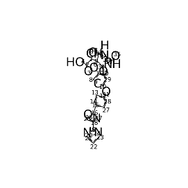 CC(C(=O)O)C1(Oc2ccc(Oc3ccc(-c4nc(-c5ncccn5)co4)cc3)cc2)C(=O)NC(=O)NC1=O